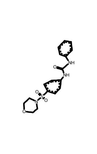 O=C(Nc1ccccc1)Nc1ccc(S(=O)(=O)N2CCOCC2)cc1